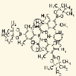 Cc1c(C)c(B2N(c3ccccc3)B(c3c(C)c(C)c(B4OC(C)(C)C(C)(C)O4)c(C)c3C)N(c3ccccc3)B(c3c(C)c(C)c(B4OC(C)(C)C(C)(C)O4)c(C)c3C)N2c2ccccc2)c(C)c(C)c1B1OC(C)(C)C(C)(C)O1